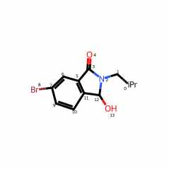 CC(C)CN1C(=O)c2cc(Br)ccc2C1O